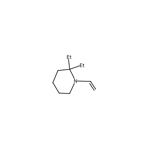 C=CN1CCCCC1(CC)CC